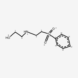 O=S(=O)(CCNCCO)c1ccccc1